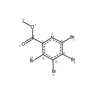 COC(=O)c1nc(Br)c(Br)c(Br)c1Br